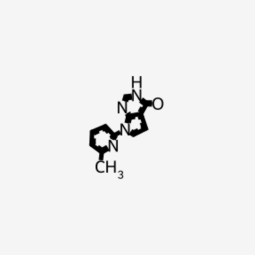 Cc1cccc(-n2ccc3c(=O)[nH]cnc32)n1